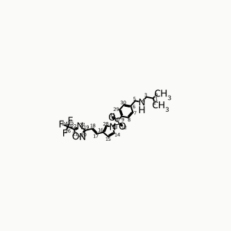 CC(C)CNCc1ccc(S(=O)(=O)n2ccc(C=Cc3noc(C(F)(F)F)n3)c2)cc1